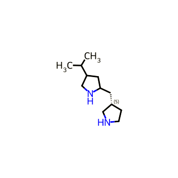 CC(C)C1CNC(C[C@@H]2CCNC2)C1